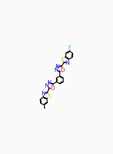 Cc1ccc2nc(-c3nnc(-c4cccc(-c5nnc(-c6nc7ccc(F)cc7s6)o5)c4)o3)sc2c1